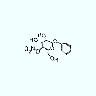 O=[N+]([O-])O[C@H]1[C@H](O)[C@H](O)[C@@H](Oc2ccccc2)O[C@@H]1CO